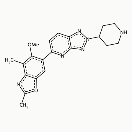 COc1c(-c2ccc3nn(C4CCNCC4)nc3n2)cc2oc(C)nc2c1C